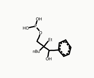 CCCCC(CC)(COP(O)O)C(O)c1ccccc1